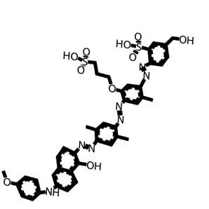 COc1ccc(Nc2ccc3c(O)c(N=Nc4cc(C)c(N=Nc5cc(C)c(N=Nc6ccc(CO)cc6S(=O)(=O)O)cc5OCCCS(=O)(=O)O)cc4C)ccc3c2)cc1